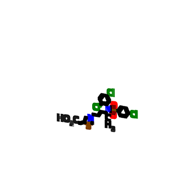 CC(CCCN1CSC(CC(=O)O)C1)N(c1cc(Cl)ccc1Cl)S(=O)(=O)c1ccc(Cl)cc1